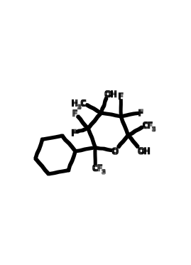 CC1(O)C(F)(F)C(O)(C(F)(F)F)OC(C2CCCCC2)(C(F)(F)F)C1(F)F